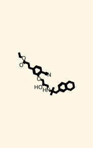 CCOC(=O)CCc1ccc(C#N)c(OCC(O)CNC(C)(C)Cc2ccc3c(c2)CCCC3)c1